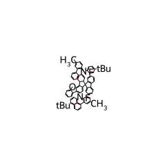 Cc1ccc(N(C2=CC3C(C=C2)c2c(cc(N(c4ccc(C(C)(C)C)cc4)c4ccc(C)cc4-c4ccccc4)c4c2oc2ccccc24)C32c3cc(F)ccc3-c3ccc(F)cc32)c2ccc(C(C)(C)C)cc2)c(-c2ccccc2)c1